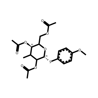 COc1ccc(S[C@H]2OC(COC(C)=O)[C@H](OC(C)=O)C(C)C2OC(C)=O)cc1